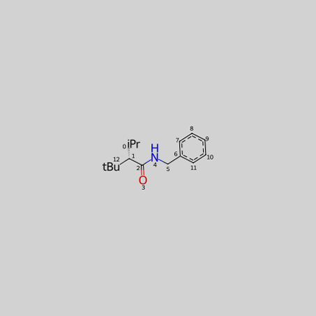 CC(C)[C@H](C(=O)NCc1ccccc1)C(C)(C)C